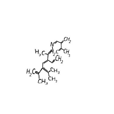 C=CC(=C\C(C(=C)C)=C(C)C)/C(C)=C/N=C\C(=C)C(=C)C